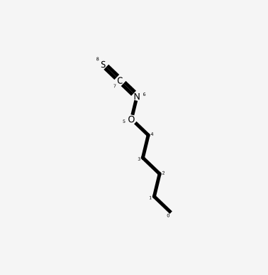 CCCCCON=C=S